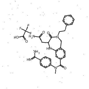 CN(C(=O)c1ccc2c(c1)NC(CC(N)=O)C(=O)N(CCc1ccccc1)C2)c1ccc(C(=N)N)cc1.O=C(O)C(F)(F)F